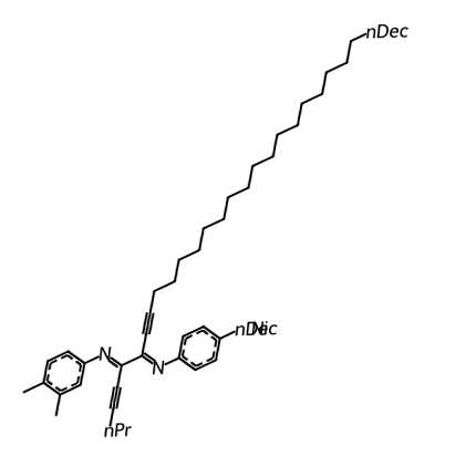 CCCC#CC(=N\c1ccc(C)c(C)c1)/C(C#CCCCCCCCCCCCCCCCCCCCCCCCCCCC)=N/c1ccc(CCCCCCCCCC)cc1.[Ni]